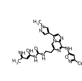 CC(=N)/C=C(\O)NC(=O)NCCc1cn2c(-c3cnn(C)c3)cnc2c(Nc2cc(C)no2)n1